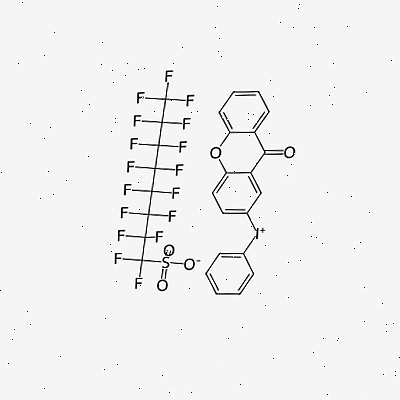 O=S(=O)([O-])C(F)(F)C(F)(F)C(F)(F)C(F)(F)C(F)(F)C(F)(F)C(F)(F)C(F)(F)F.O=c1c2ccccc2oc2ccc([I+]c3ccccc3)cc12